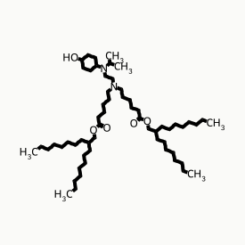 CCCCCCCCC(CCCCCCCC)COC(=O)CCCCCN(CCCCCC(=O)OCC(CCCCCCCC)CCCCCCCC)CCN(C(C)C)C1CCC(O)CC1